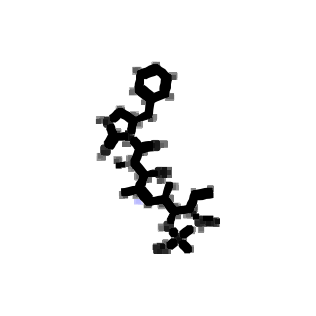 C=C[C@H](OC)[C@@H](O[Si](C)(C)C(C)(C)C)[C@H](C)/C=C(/C)[C@H](O)[C@H](C)C(=O)N1C(=O)OC[C@H]1Cc1ccccc1